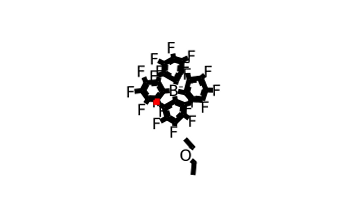 CCOCC.Fc1c(F)c(F)c([B-](c2c(F)c(F)c(F)c(F)c2F)(c2c(F)c(F)c(F)c(F)c2F)c2c(F)c(F)c(F)c(F)c2F)c(F)c1F